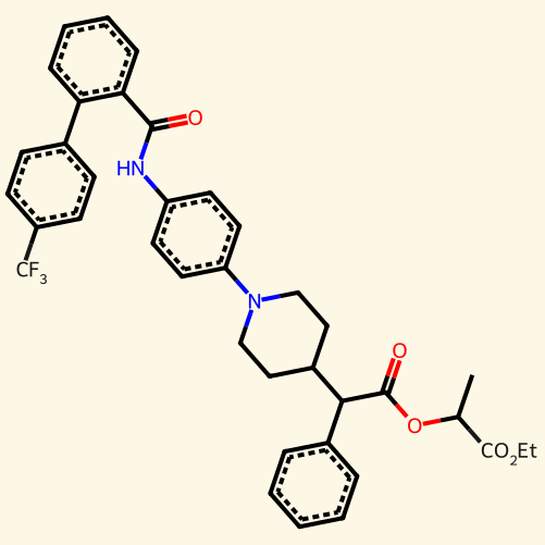 CCOC(=O)C(C)OC(=O)C(c1ccccc1)C1CCN(c2ccc(NC(=O)c3ccccc3-c3ccc(C(F)(F)F)cc3)cc2)CC1